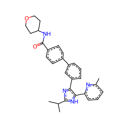 Cc1cccc(-c2[nH]c(C(C)C)nc2-c2cccc(-c3ccc(C(=O)NC4CCOCC4)cc3)c2)n1